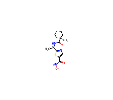 C[C@@H](NC(=O)C1(C)CCCCC1)c1ncc(C(=O)NO)s1